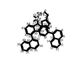 CCC1=Cc2c(-c3cccc4ccccc34)cccc2[CH]1[Zr]([CH3])([CH3])(=[SiH2])[CH]1C(CC)=Cc2c(-c3cccc4ccccc34)cccc21